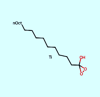 CCCCCCCCCCCCCCCCCC1(O)OO1.[Ti]